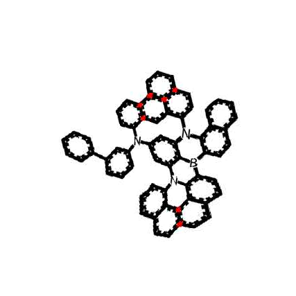 c1ccc(-c2cccc(N(c3cccc(-c4ccccc4)c3)c3cc4c5c(c3)N(c3cccc6ccccc36)c3c(ccc6ccccc36)B5c3ccc5ccccc5c3N4c3cccc4ccccc34)c2)cc1